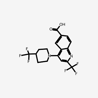 O=C(O)c1ccc2nc(C(F)(F)F)cc(N3CCC(C(F)(F)F)CC3)c2c1